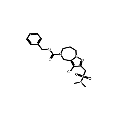 CN(C)S(=O)(=O)Cc1nn2c(c1Cl)CN(C(=O)OCc1ccccc1)CCC2